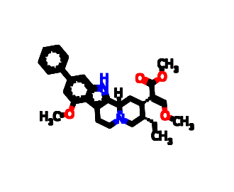 CC[C@@H]1CN2CCc3c([nH]c4cc(-c5ccccc5)cc(OC)c34)[C@@H]2C[C@@H]1/C(=C\OC)C(=O)OC